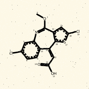 COC1=Nc2cc(Cl)ccc2C(=CC(=O)O)c2sc(Cl)cc21